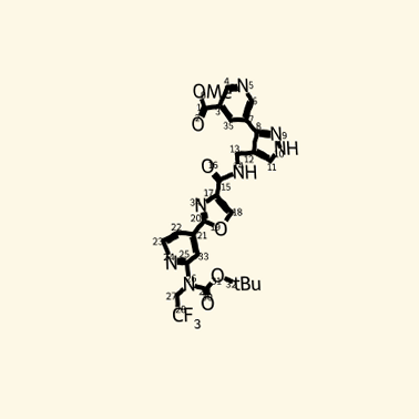 COC(=O)c1cncc(-c2n[nH]cc2CNC(=O)c2coc(-c3ccnc(N(CC(F)(F)F)C(=O)OC(C)(C)C)c3)n2)c1